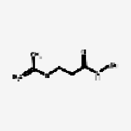 C=C(C)OCCC(=O)NC(C)(C)C